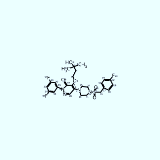 CC(C)(O)CCOc1c(N2CCN(S(=O)(=O)Cc3ccc(F)cc3)CC2)cnn(-c2cc(F)cc(F)c2)c1=O